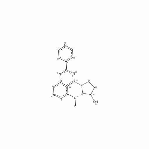 COc1cncc2nc(-c3ccncc3)nc(N3CCC(O)C3)c12